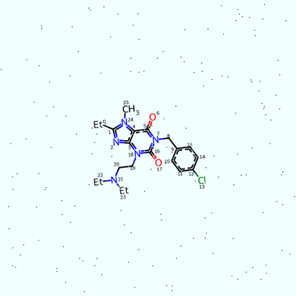 CCc1nc2c(c(=O)n(Cc3ccc(Cl)cc3)c(=O)n2CCN(CC)CC)n1C